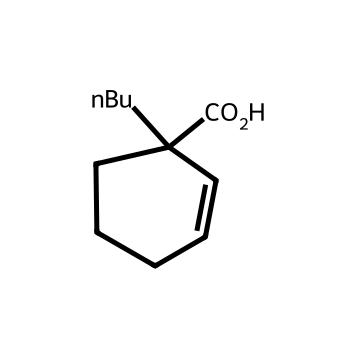 CCCCC1(C(=O)O)C=CCCC1